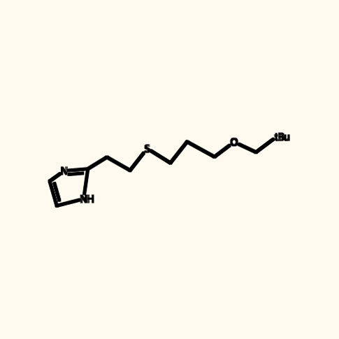 CC(C)(C)COCCCSCCc1ncc[nH]1